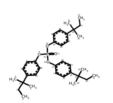 CCC(C)(C)c1ccc(OP(=O)(Oc2ccc(C(C)(C)CC)cc2)Oc2ccc(C(C)(C)CC)cc2)cc1